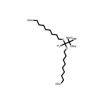 Br.CCCCCCCCCCCCCCCCCCOC(N)(OCCCCCCCCCCCCCCCCCC)C(C)(OC)OC